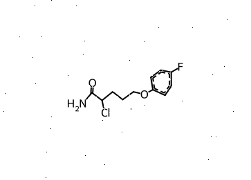 NC(=O)C(Cl)CCCOc1ccc(F)cc1